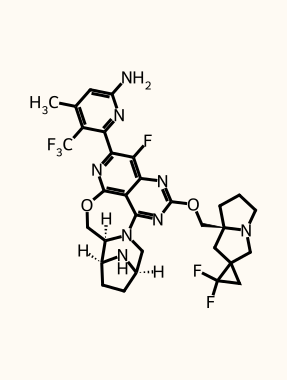 Cc1cc(N)nc(-c2nc3c4c(nc(OC[C@@]56CCCN5CC5(CC5(F)F)C6)nc4c2F)N2C[C@H]4CC[C@H](N4)[C@H]2CO3)c1C(F)(F)F